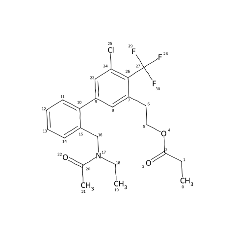 CCC(=O)OCCc1cc(-c2ccccc2CN(CC)C(C)=O)cc(Cl)c1C(F)(F)F